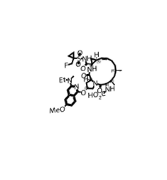 CCN(C)c1cc2cc(OC)ccc2c(O[C@@H]2C[C@H]3C(=O)N[C@]4(C(=O)NS(=O)(=O)C5(CF)CC5)C[C@H]4C=CCC[C@@H](C)C[C@@H](C)[C@H](NC(=O)O)C(=O)N3C2)n1